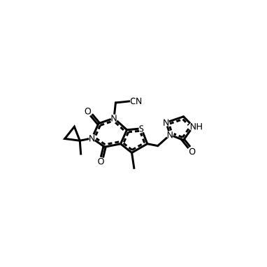 Cc1c(Cn2nc[nH]c2=O)sc2c1c(=O)n(C1(C)CC1)c(=O)n2CC#N